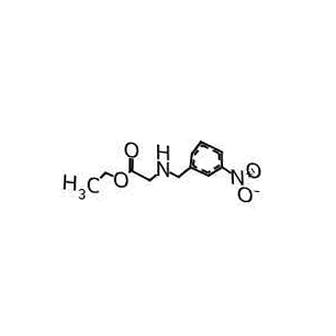 CCOC(=O)CNCc1cccc([N+](=O)[O-])c1